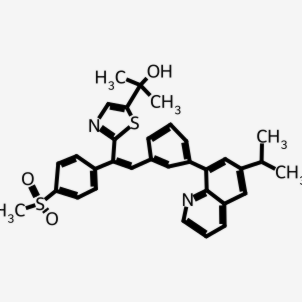 CC(C)c1cc(-c2cccc(C=C(c3ccc(S(C)(=O)=O)cc3)c3ncc(C(C)(C)O)s3)c2)c2ncccc2c1